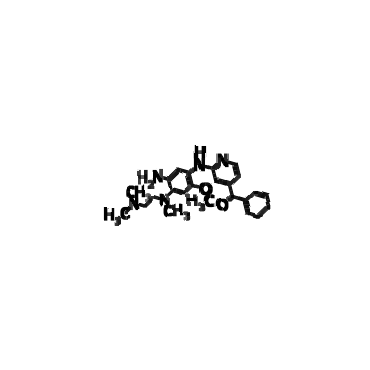 COc1cc(N(C)CCN(C)C)c(N)cc1Nc1cc(C(=O)c2ccccc2)ccn1